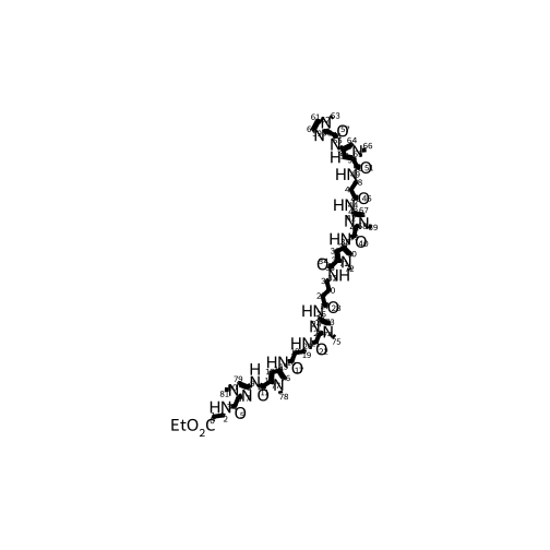 CCOC(=O)CCNC(=O)c1nc(NC(=O)c2cc(NC(=O)CCNC(=O)c3nc(NC(=O)CCCNC(=O)c4cc(NC(=O)c5nc(NC(=O)CCNC(=O)c6cc(NC(=O)c7nccn7C)cn6C)cn5C)cn4C)cn3C)cn2C)cn1C